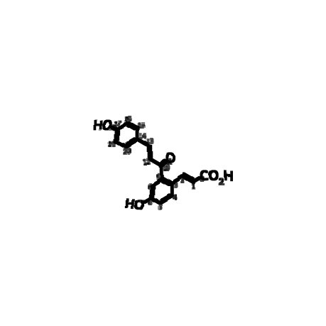 O=C(O)C=Cc1ccc(O)cc1C(=O)C=Cc1ccc(O)cc1